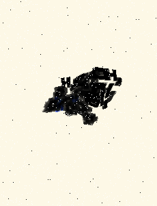 CC1CC2=C(c3ccc(N(c4ccc(-c5ccccc5)cc4)C4CC=C(c5nc6ccccc6n5-c5ccccc5)c5ccccc54)cc3C2(C)C)C(C)C1